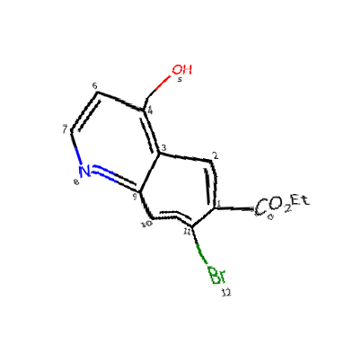 CCOC(=O)c1cc2c(O)ccnc2cc1Br